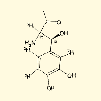 [2H]c1c([2H])c([C@H](O)[C@@]([2H])(N)C(C)=O)c([2H])c(O)c1O